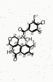 CN(C(=O)c1cc(F)c(Cl)c(F)c1)[C@@H]1COCc2[nH]c(=O)c3cc(F)c(F)cc3c21